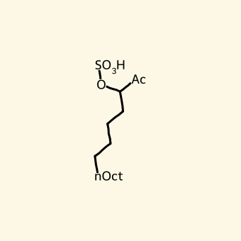 CCCCCCCCCCCCC(OS(=O)(=O)O)C(C)=O